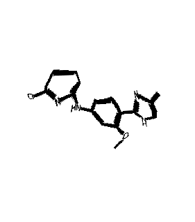 COc1cc(Nc2cccc(Cl)n2)ccc1-c1nc(C)c[nH]1